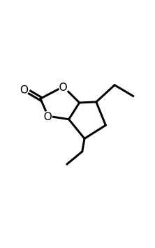 CCC1CC(CC)C2OC(=O)OC12